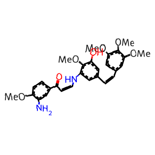 COc1ccc(C(=O)/C=C\Nc2cc(/C=C\c3cc(OC)c(OC)c(OC)c3)cc(O)c2OC)cc1N